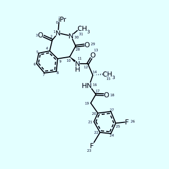 CC(C)N1C(=O)c2ccccc2[C@H](NC(=O)[C@H](C)NC(=O)Cc2cc(F)cc(F)c2)C(=O)N1C